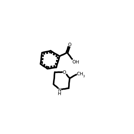 CC1CNCCO1.O=C(O)c1ccccc1